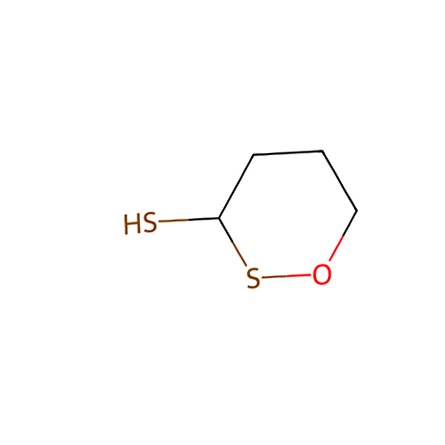 SC1CCCOS1